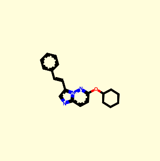 C(=Cc1cnc2ccc(OC3CCCCC3)nn12)c1ccccc1